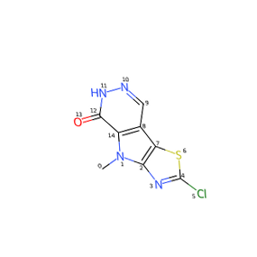 Cn1c2nc(Cl)sc2c2cn[nH]c(=O)c21